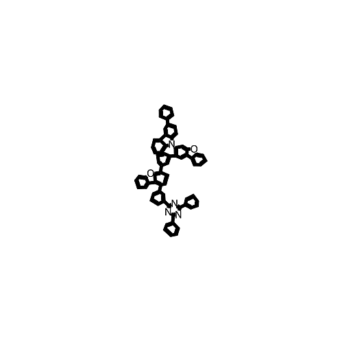 c1ccc(-c2ccc3c(c2)c2ccccc2n3-c2cc3oc4ccccc4c3cc2-c2cccc(-c3ccc(-c4cccc(-c5nc(-c6ccccc6)nc(-c6ccccc6)n5)c4)c4c3oc3ccccc34)c2)cc1